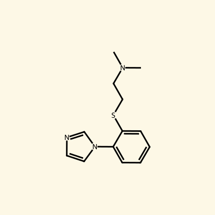 CN(C)CCSc1ccccc1-n1ccnc1